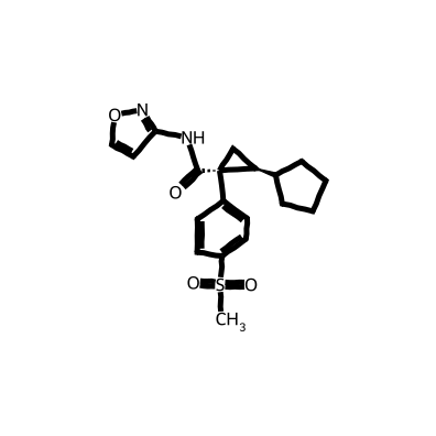 CS(=O)(=O)c1ccc([C@@]2(C(=O)Nc3ccon3)C[C@H]2C2CCCC2)cc1